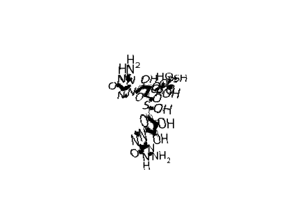 Nc1nc2c(ncn2[C@@H]2O[C@H](C(O)SC(OP(=O)(O)OP(=O)(O)S)[C@H]3O[C@@H](n4cnc5c(=O)[nH]c(N)nc54)[C@H](O)[C@@H]3O)[C@@H](O)[C@H]2O)c(=O)[nH]1